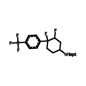 CCCCCCCC1CCC(F)(c2ccc(S(F)(F)F)cc2)C(F)C1